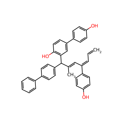 C=C/C=C(\C=C(/C)C(c1ccc(-c2ccccc2)cc1)c1cc(-c2ccc(O)cc2)ccc1O)c1ccc(O)cc1